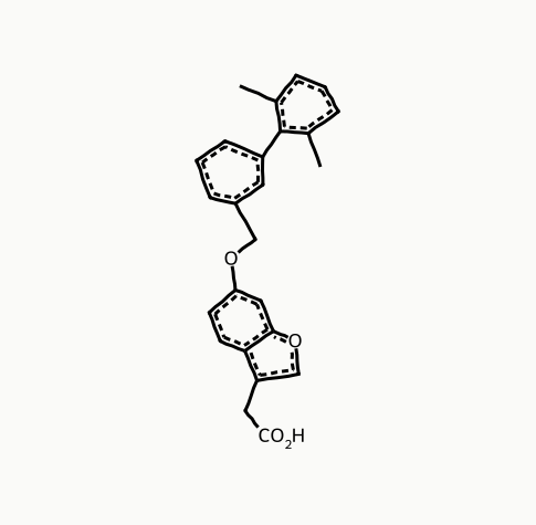 Cc1cccc(C)c1-c1cccc(COc2ccc3c(CC(=O)O)coc3c2)c1